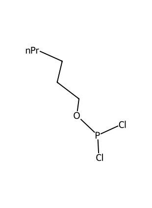 CCCCCCOP(Cl)Cl